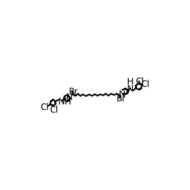 Clc1ccc(CNc2cc[n+](C(Br)CCCCCCCCCCCCCCCCC(Br)[n+]3ccc(NCc4ccc(Cl)c(Cl)c4)cc3)cc2)cc1Cl